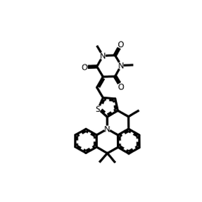 CC1c2cc(C=C3C(=O)N(C)C(=O)N(C)C3=O)sc2N2c3ccccc3C(C)(C)c3cccc1c32